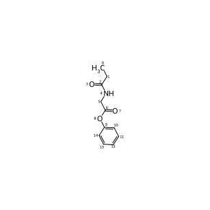 CCC(=O)NCC(=O)Oc1ccccc1